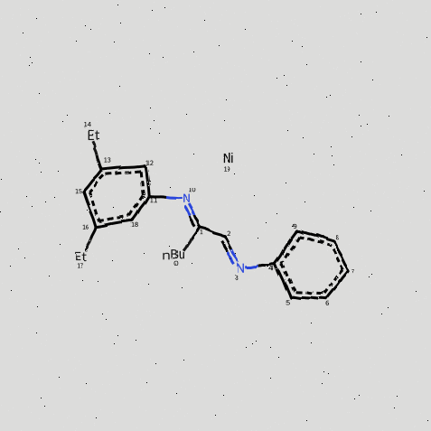 CCCCC(/C=N/c1ccccc1)=N\c1cc(CC)cc(CC)c1.[Ni]